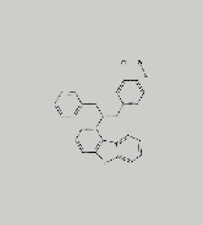 [CH]1c2ccccc2-c2c1cccc2N(Cc1ccccc1)Cc1ccccc1.[Cl][Zr][Cl]